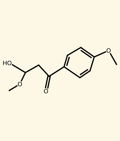 COc1ccc(C(=O)CC(O)OC)cc1